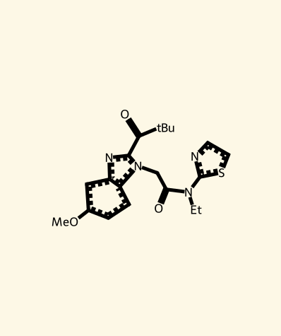 CCN(C(=O)Cn1c(C(=O)C(C)(C)C)nc2cc(OC)ccc21)c1nccs1